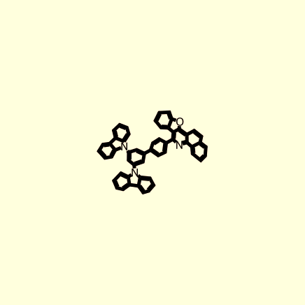 c1ccc2c(c1)ccc1c2nc(-c2ccc(-c3cc(-n4c5ccccc5c5ccccc54)cc(-n4c5ccccc5c5ccccc54)c3)cc2)c2c3ccccc3oc12